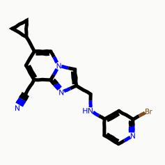 N#Cc1cc(C2CC2)cn2cc(CNc3ccnc(Br)c3)nc12